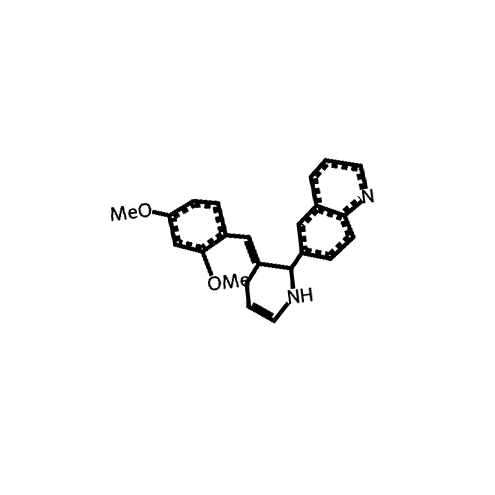 COc1ccc(C=C2CC=CNC2c2ccc3ncccc3c2)c(OC)c1